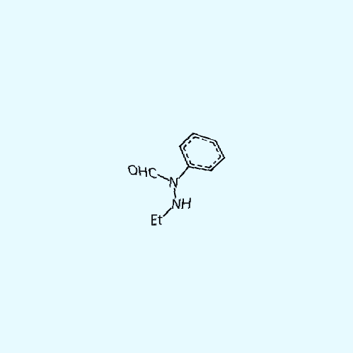 CCNN(C=O)c1ccccc1